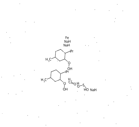 C=O.CC1CCC(C(C)C)C(OO)C1.CC1CCC(C(C)C)C(OO)C1.OSO.[Fe].[NaH].[NaH].[NaH]